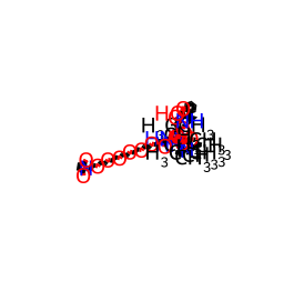 CC[C@H](C)[C@@H]([C@@H](CC(=O)N1CCC[C@H]1[C@H](OC)[C@@H](C)C(=O)N[C@@H](C(=O)O)C1(c2ccccc2)CC1)OC)N(C)[C@H](C(=O)NC(=O)C(C)(C)NC(=O)CCOCCOCCOCCOCCOCCOCCN1C(=O)C=CC1=O)C(C)C